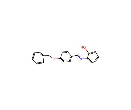 Oc1ccccc1/N=C/c1ccc(OCc2ccccc2)cc1